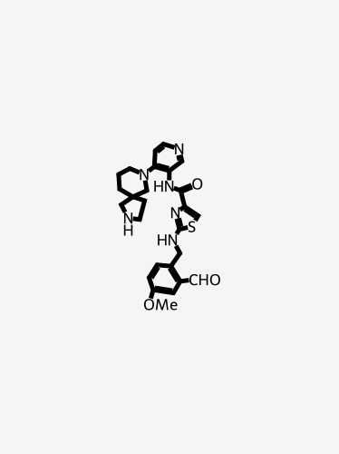 COc1ccc(CNc2nc(C(=O)Nc3cnccc3N3CCCC4(CCNC4)C3)cs2)c(C=O)c1